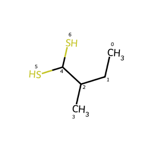 CCC(C)C(S)S